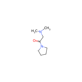 CN(C)CC(=O)N1[CH]CCC1